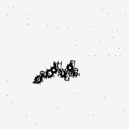 COc1cc2c(cc1Nc1ncc(Cl)c(Nc3ccc(Cl)cc3S(=O)(=O)N(C)C)n1)CCN(CC(=O)N1CCN(C)CC1)CC2